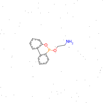 NCCOP1Oc2ccccc2-c2ccccc21